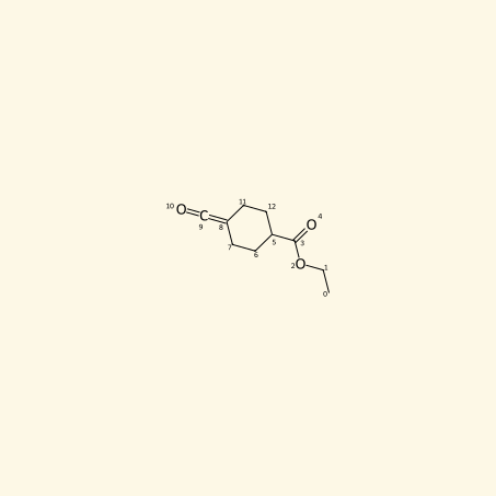 CCOC(=O)C1CCC(=C=O)CC1